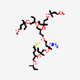 CCC(C)OCC(CC=CS)OC(C)(CC)COC(C)(N)CCOCCC(COC(CC)COC(C)(CC)CCOC)OC(C)(CC)CCOC(C)(C)CCOC